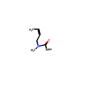 C/C=C\CN(C)C(=O)NC